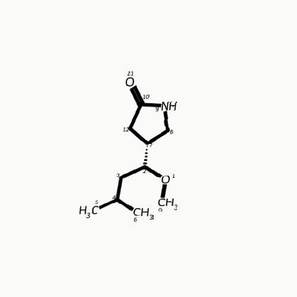 COC(CC(C)C)[C@H]1CNC(=O)C1